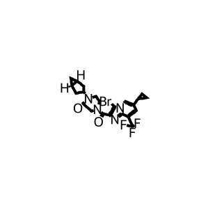 O=C(c1nc2c(C(F)(F)F)cc(C3CC3)cn2c1Br)N1CCN(C2C[C@@H]3C[C@H]3C2)C(=O)C1